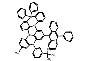 Cc1ccc2c(c1)N(c1cccc(C(C)(C)C)c1)c1cc(-c3c4ccccc4c(-c4ccccc4)c4ccccc34)cc3c1B2c1cccc2c1N3c1ccccc1[Si]2(c1ccccc1)c1ccccc1